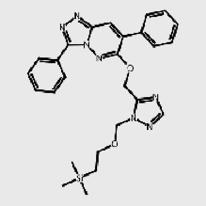 C[Si](C)(C)CCOCn1ncnc1COc1nn2c(-c3ccccc3)nnc2cc1-c1ccccc1